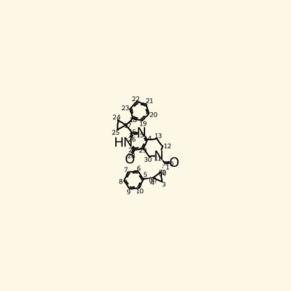 O=C([C@@H]1C[C@H]1c1ccccc1)N1CCc2nc(C3(c4ccccc4)CC3)[nH]c(=O)c2C1